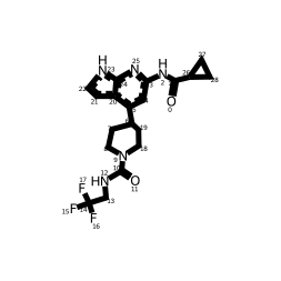 O=C(Nc1cc(C2CCN(C(=O)NCC(F)(F)F)CC2)c2cc[nH]c2n1)C1CC1